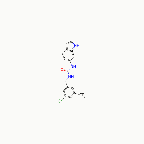 O=C(NCc1cc(Cl)cc(C(F)(F)F)c1)Nc1ccc2cc[nH]c2c1